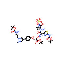 C[n+]1cc(-c2ccc(OC[C@H](O/N=C(\C(=O)N[C@@H]3C(=O)N(OS(=O)(=O)[O-])C3(C)C)c3csc(NC(=O)OC(C)(C)C)n3)C(=O)OC(C)(C)C)cc2)cn1CCCNC(=O)OC(C)(C)C